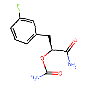 NC(=O)O[C@@H](Cc1cccc(F)c1)C(N)=O